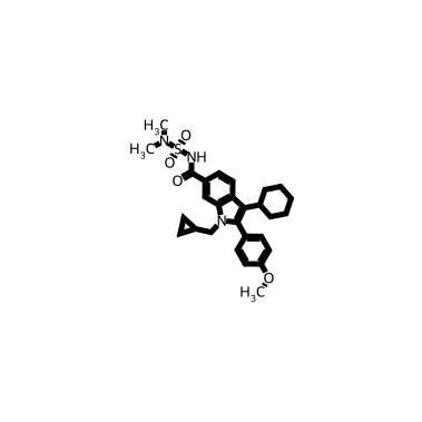 COc1ccc(-c2c(C3CCCCC3)c3ccc(C(=O)NS(=O)(=O)N(C)C)cc3n2CC2CC2)cc1